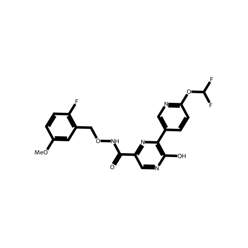 COc1ccc(F)c(CONC(=O)c2cnc(O)c(-c3ccc(OC(F)F)nc3)n2)c1